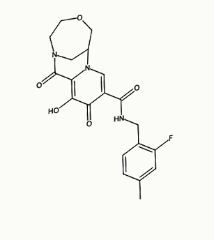 Cc1ccc(CNC(=O)c2cn3c(c(O)c2=O)C(=O)N2CCOCC3C2)c(F)c1